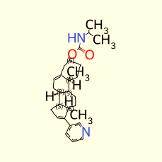 CC(C)NC(=O)O[C@H]1CC[C@@]2(C)C(=CC[C@@H]3[C@@H]2CC[C@]2(C)C(c4cccnc4)=CC[C@@H]32)C1